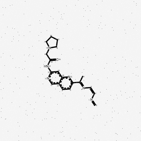 C=N/C=C\N=C(/C)c1ccc2cnc(NC(=O)CN3CCCC3)cc2n1